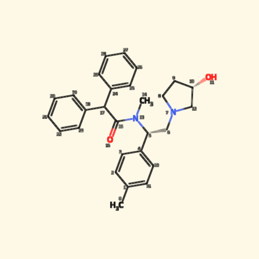 Cc1ccc([C@@H](CN2CC[C@H](O)C2)N(C)C(=O)C(c2ccccc2)c2ccccc2)cc1